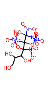 O=[N+]([O-])OC(C(O)C(O)CO)([N+](=O)[O-])C(O[N+](=O)[O-])([N+](=O)[O-])C(O)([N+](=O)[O-])[N+](=O)[O-]